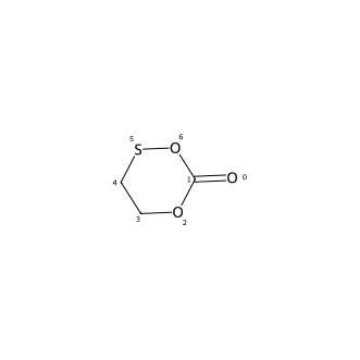 O=C1OCCSO1